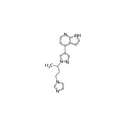 CC(CCn1ccnc1)n1cc(-c2ccnc3[nH]ccc23)cn1